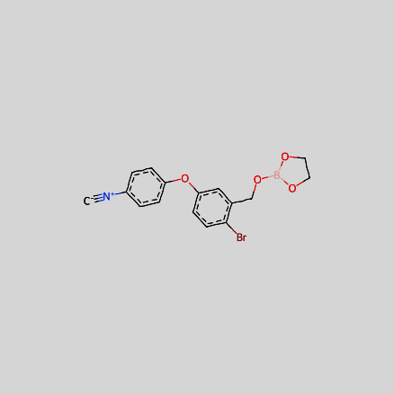 [C-]#[N+]c1ccc(Oc2ccc(Br)c(COB3OCCO3)c2)cc1